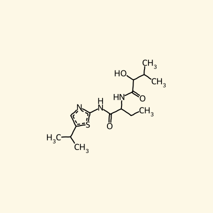 CCC(NC(=O)C(O)C(C)C)C(=O)Nc1ncc(C(C)C)s1